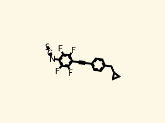 Fc1c(F)c(N=C=S)c(F)c(F)c1C#Cc1ccc(CC2CC2)cc1